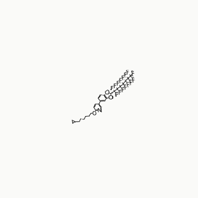 FC(F)(F)C(F)(F)C(F)(F)C(F)(F)C(F)(F)C(F)(F)C(F)(F)C1Oc2ccc(-c3ccc(OCCCCCCC4CC4)nc3)cc2O1